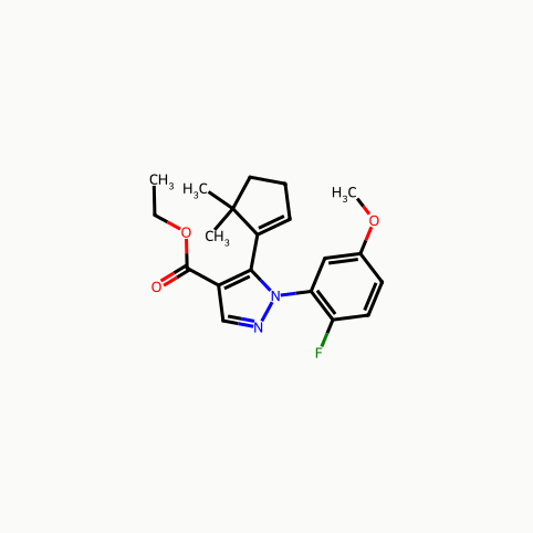 CCOC(=O)c1cnn(-c2cc(OC)ccc2F)c1C1=CCCC1(C)C